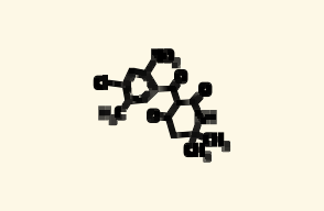 Cc1cc(C(=O)C2C(=O)CC(C)(C)NC2=O)c([N+](=O)[O-])cc1Cl